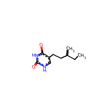 C=C(CC)CCc1c[nH]c(=O)[nH]c1=O